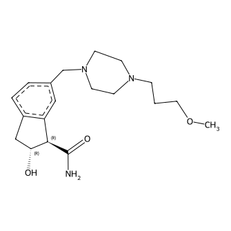 COCCCN1CCN(Cc2ccc3c(c2)[C@@H](C(N)=O)[C@H](O)C3)CC1